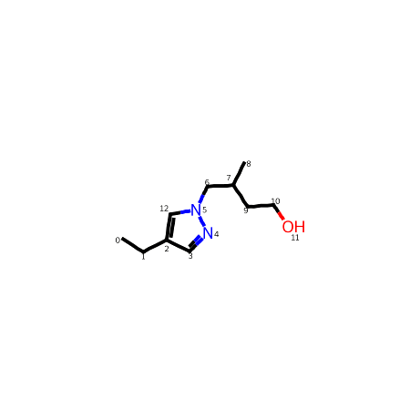 CCc1cnn(CC(C)CCO)c1